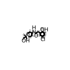 CC(C)(CO)N1C=CC(NC(=O)Cc2cc(Cl)ccc2O)=CC1